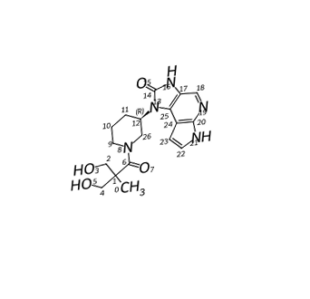 CC(CO)(CO)C(=O)N1CCC[C@@H](n2c(=O)[nH]c3cnc4[nH]ccc4c32)C1